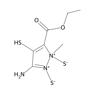 CCOC(=O)C1=C(S)C(N)=[N+]([S-])[N+]1(C)[S-]